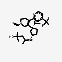 CC(CC(C)(C)O)N[C@@H]1CC[C@@](C2=C(c3cc(C(F)(F)F)ccn3)CCN(C=O)C2)(C(C)C)C1